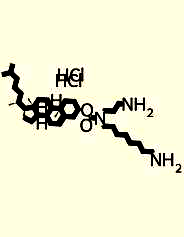 CC(C)CCC[C@@H](C)[C@H]1CC[C@H]2[C@@H]3CC=C4C[C@@H](OC(=O)N(CCCN)CCCCCCCCN)CC[C@]4(C)[C@H]3CC[C@]12C.Cl.Cl